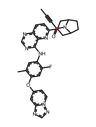 CC#CC(=O)N1C2CCC1CC(c1ccc3ncnc(Nc4cc(C)c(Oc5ccn6ncnc6c5)cc4F)c3n1)C2